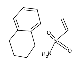 C=CS(N)(=O)=O.c1ccc2c(c1)CCCC2